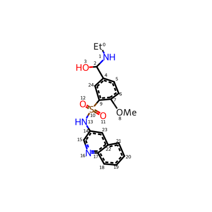 CCNC(O)c1ccc(OC)c(S(=O)(=O)Nc2cnc3ccccc3c2)c1